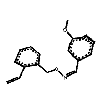 C=Cc1ccccc1CO/N=[C]\c1cccc(OC)c1